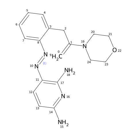 C=C(Cc1ccccc1/N=N/c1ccc(N)nc1N)N1CCOCC1